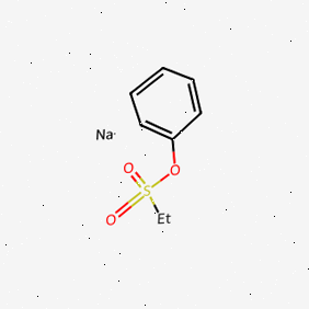 CCS(=O)(=O)Oc1ccccc1.[Na]